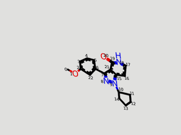 COc1cccc(-c2nn(C3CCCC3)c3cc[nH]c(=O)c23)c1